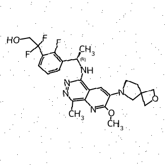 COc1nc2c(C)nnc(N[C@H](C)c3cccc(C(F)(F)CO)c3F)c2cc1N1CCC2(COC2)C1